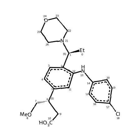 CC[C@@H](c1ccc([C@@H](COC)CC(=O)O)cc1Nc1ccc(Cl)cc1)N1CCOCC1